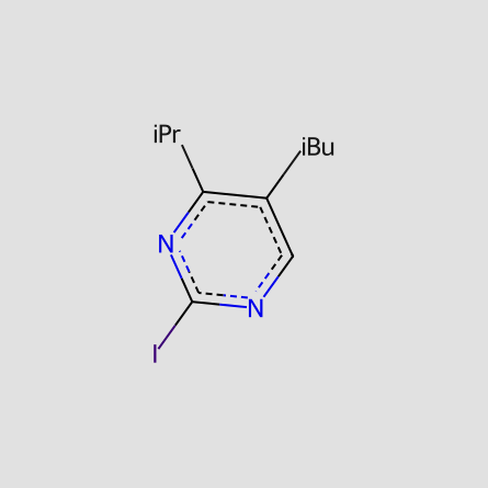 CCC(C)c1cnc(I)nc1C(C)C